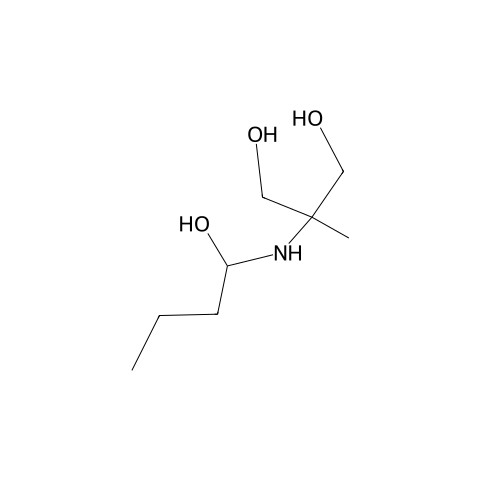 CCCC(O)NC(C)(CO)CO